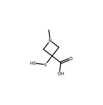 CN1CC(SS)(C(=O)O)C1